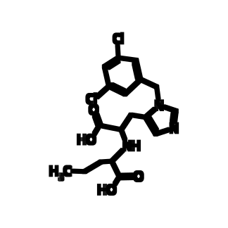 CCCC(NC(Cc1cncn1Cc1cc(Cl)cc(Cl)c1)C(=O)O)C(=O)O